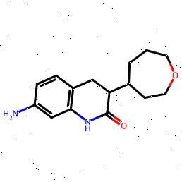 Nc1ccc2c(c1)NC(=O)C(C1CCCOCC1)C2